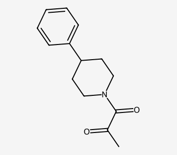 CC(=O)C(=O)N1CCC(c2ccccc2)CC1